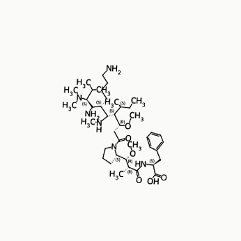 CC[C@H](C)[C@@H](C(NC)[C@@H](CCCCN)C(N)[C@H](C(C)C)N(C)C)[C@@H](CC(=O)N1CCC[C@H]1[C@H](OC)[C@@H](C)C(=O)N[C@@H](Cc1ccccc1)C(=O)O)OC